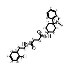 CN(C)C1(c2ccccc2)CCC(NC(=O)CCC(=O)NCCc2ccccc2Cl)CC1